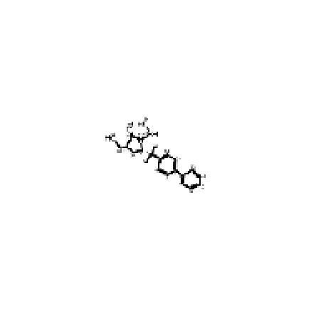 CC(C)(c1ccc(-c2ccccc2)cc1)[C@@H]1C[C@@H](CO)C(=O)N1BC=O